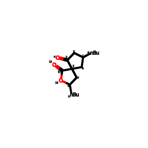 CCCCC1CC(=O)C2(C1)CC(CCCC)OC2=O